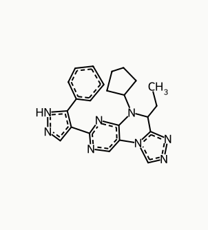 CCC1c2nncn2-c2cnc(-c3cn[nH]c3-c3ccccc3)nc2N1C1CCCC1